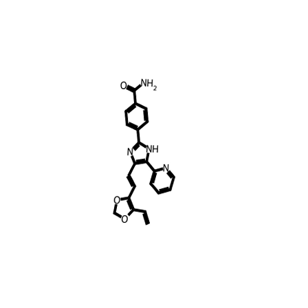 C=CC1=C(/C=C/c2nc(-c3ccc(C(N)=O)cc3)[nH]c2-c2ccccn2)OCO1